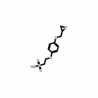 O=S(=O)(O)CCOc1ccc(OCC2CO2)cc1